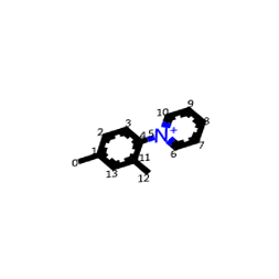 Cc1ccc(-[n+]2ccccc2)c(C)c1